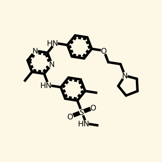 CNS(=O)(=O)c1cc(Nc2nc(Nc3ccc(OCCN4CCCC4)cc3)ncc2C)ccc1C